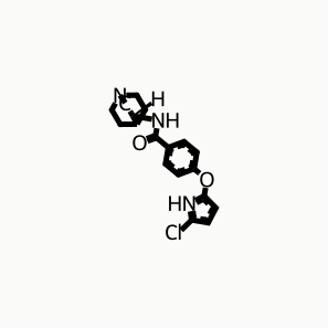 O=C(N[C@H]1CN2CCC1CC2)c1ccc(Oc2ccc(Cl)[nH]2)cc1